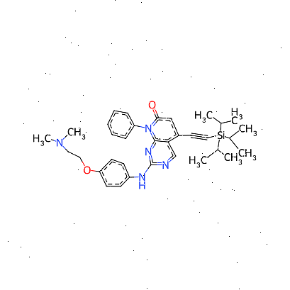 CC(C)[Si](C#Cc1cc(=O)n(-c2ccccc2)c2nc(Nc3ccc(OCCN(C)C)cc3)ncc12)(C(C)C)C(C)C